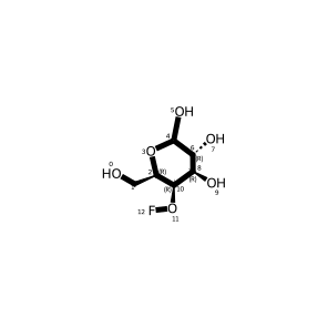 OC[C@H]1OC(O)[C@H](O)[C@@H](O)[C@H]1OF